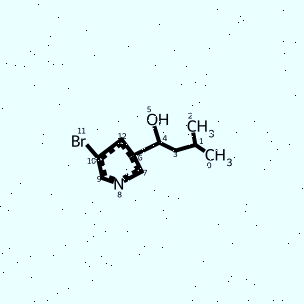 CC(C)CC(O)c1cncc(Br)c1